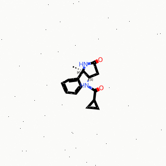 C[C@]1(c2ccccc2)NC(=O)C[C@@H]1NC(=O)C1CC1